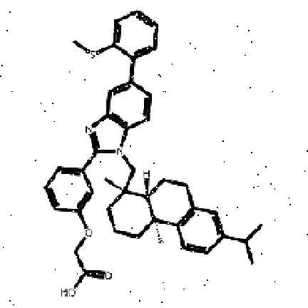 CSc1ccccc1-c1ccc2c(c1)nc(-c1cccc(OCC(=O)O)c1)n2C[C@@]1(C)CCC[C@]2(C)c3ccc(C(C)C)cc3CC[C@@H]12